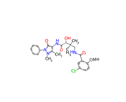 COc1ccc(Cl)cc1C(=O)NCC(C)(C)C(O)C(=O)Nc1c(C)n(C)n(-c2ccccc2)c1=O